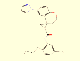 N#Cc1ccc(CCCC(=O)O)c(NC(=O)C2CC23CCOc2ccc(-n4cccn4)cc23)c1